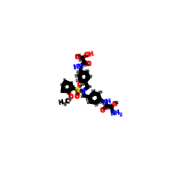 COc1ccccc1S(=O)(=O)N(Cc1ccc(NC(=O)C(N)=O)cc1)Cc1ccc(NC(=O)C(=O)O)cc1